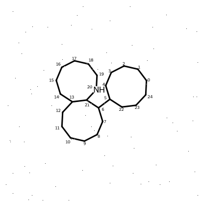 C1CCCCC(C2CCCCCCC3CCCCCCNC32)CCC1